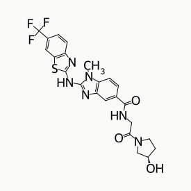 Cn1c(Nc2nc3ccc(C(F)(F)F)cc3s2)nc2cc(C(=O)NCC(=O)N3CC[C@@H](O)C3)ccc21